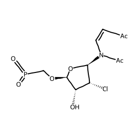 CC(=O)/C=C\N(C(C)=O)[C@@H]1O[C@H](OCP(=O)=O)[C@@H](O)[C@H]1Cl